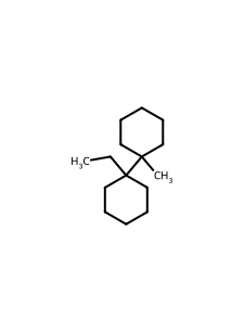 CCC1(C2(C)CCCCC2)CCCCC1